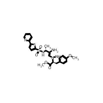 COC(=O)[C@H](Cc1ccc(OC)cc1)N(N)/C=C(\N)[C@@H](C)NS(=O)(=O)c1ccc(-c2ccccn2)s1